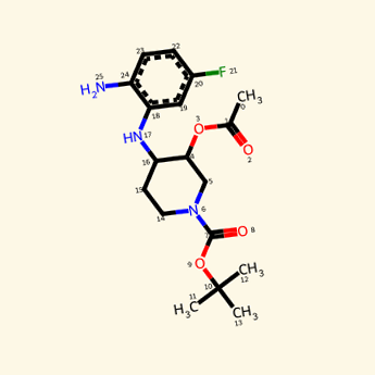 CC(=O)OC1CN(C(=O)OC(C)(C)C)CCC1Nc1cc(F)ccc1N